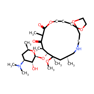 CO[C@]1(C)C[C@@H](C)CNCCC2(CCCOC(=O)C(C)C(=O)[C@H](C)[C@H]1O[C@@H]1O[C@H](C)C[C@H](N(C)C)[C@H]1O)OCCO2